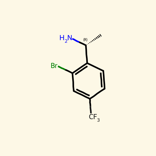 C[C@@H](N)c1ccc(C(F)(F)F)cc1Br